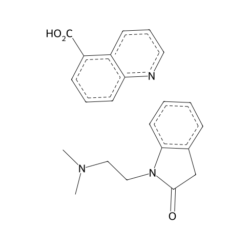 CN(C)CCN1C(=O)Cc2ccccc21.O=C(O)c1cccc2ncccc12